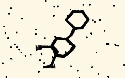 CNC1=C(S)CC(C2CCCCC2)CC1